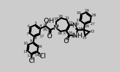 O=C([C@H](O)c1cccc(-c2ccc(Cl)c(Cl)c2)c1)N1CCCc2nc(C3(c4ccccc4)CC3)[nH]c(=O)c2C1